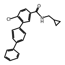 O=C(NCC1CC1)c1ccc(Cl)c(-c2ccc(-c3ccccc3)cc2)c1